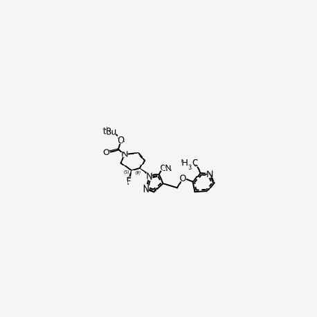 Cc1ncccc1OCc1cnn([C@@H]2CCN(C(=O)OC(C)(C)C)C[C@@H]2F)c1C#N